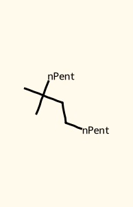 [CH2]CCCCC(C)(C)CCCCCCC